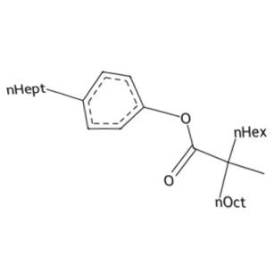 CCCCCCCCC(C)(CCCCCC)C(=O)Oc1ccc(CCCCCCC)cc1